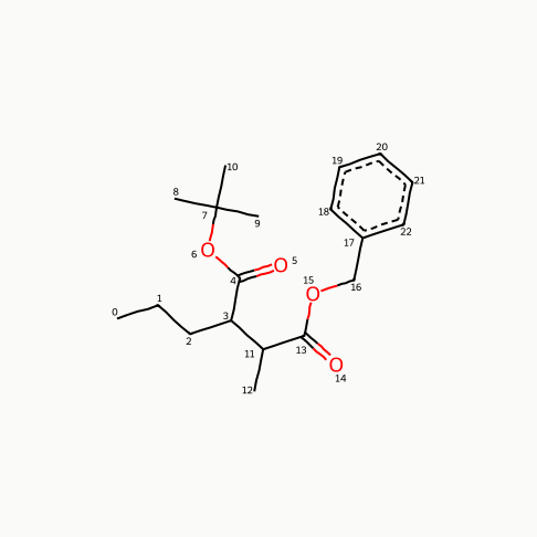 CCCC(C(=O)OC(C)(C)C)C(C)C(=O)OCc1ccccc1